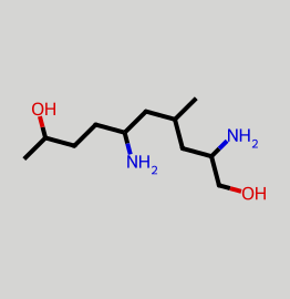 CC(O)CCC(N)CC(C)CC(N)CO